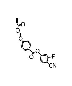 C=CC(=O)OCOc1ccc(C(=O)Oc2ccc(C#N)c(F)c2)cc1